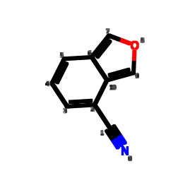 N#Cc1cccc2[c]occ12